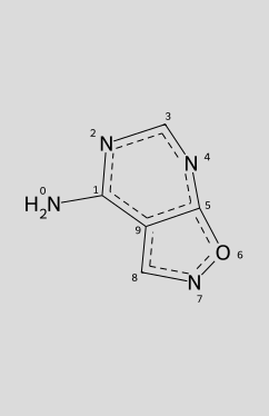 Nc1ncnc2oncc12